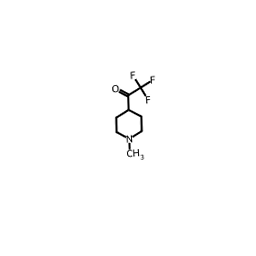 CN1CCC(C(=O)C(F)(F)F)CC1